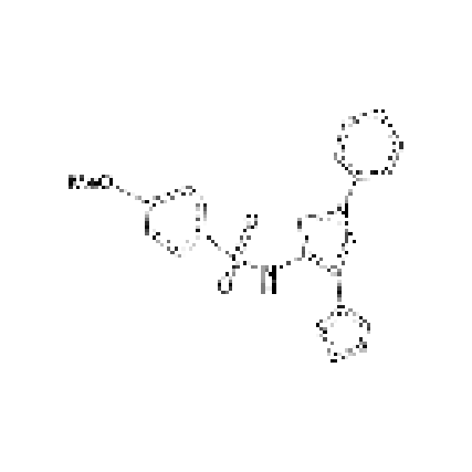 COc1ccc(S(=O)(=O)Nc2cn(-c3ccccc3)nc2-c2cccs2)cc1